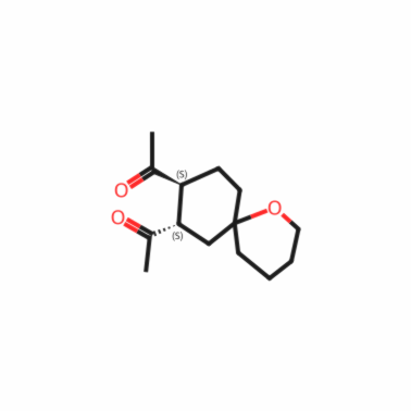 CC(=O)[C@H]1CCC2(CCCCO2)C[C@@H]1C(C)=O